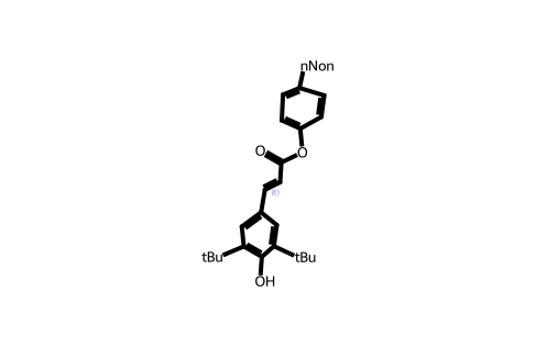 CCCCCCCCCc1ccc(OC(=O)/C=C/c2cc(C(C)(C)C)c(O)c(C(C)(C)C)c2)cc1